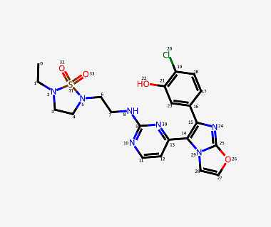 CCN1CCN(CCNc2nccc(-c3c(-c4ccc(Cl)c(O)c4)nc4occn34)n2)S1(=O)=O